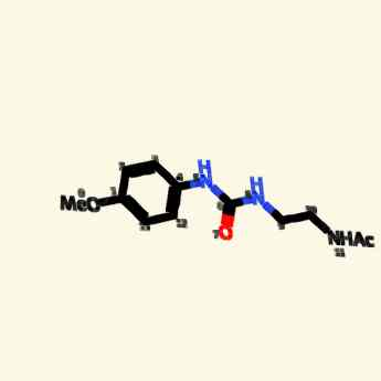 COc1ccc(NC(=O)NCCNC(C)=O)cc1